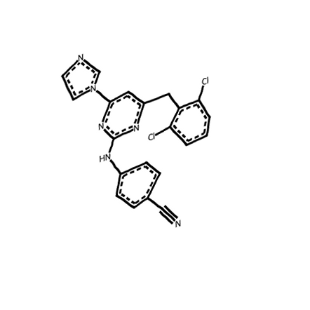 N#Cc1ccc(Nc2nc(Cc3c(Cl)cccc3Cl)cc(-n3ccnc3)n2)cc1